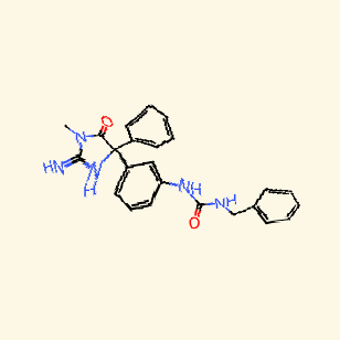 CN1C(=N)NC(c2ccccc2)(c2cccc(NC(=O)NCc3ccccc3)c2)C1=O